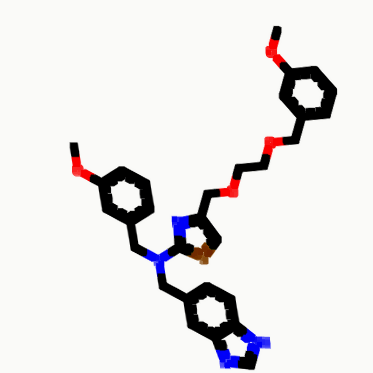 COc1cccc(COCCOCc2csc(N(Cc3cccc(OC)c3)Cc3ccc4[nH]cnc4c3)n2)c1